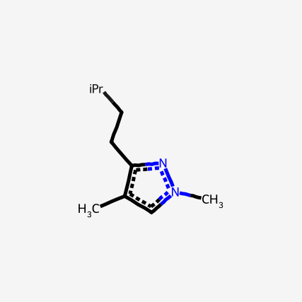 Cc1cn(C)nc1CCC(C)C